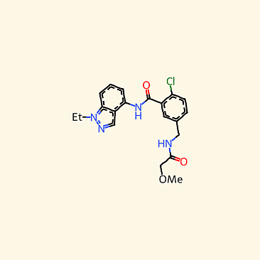 CCn1ncc2c(NC(=O)c3cc(CNC(=O)COC)ccc3Cl)cccc21